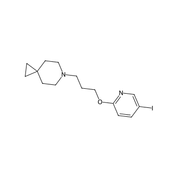 Ic1ccc(OCCCN2CCC3(CC2)CC3)nc1